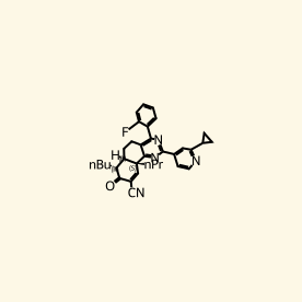 CCCC[C@H]1C(=O)C(C#N)=C[C@@]2(CCC)c3nc(-c4ccnc(C5CC5)c4)nc(-c4ccccc4F)c3CC[C@H]12